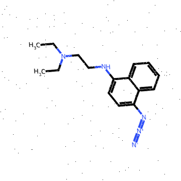 CCN(CC)CCNc1ccc(N=[N+]=[N-])c2ccccc12